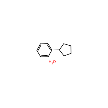 O.c1ccc(C2CCCC2)cc1